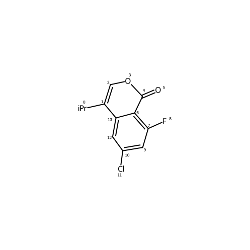 CC(C)c1coc(=O)c2c(F)cc(Cl)cc12